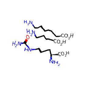 NC(=O)NCCC[C@H](N)C(=O)O.NCCCC(=O)O.NCCCCCC(=O)O